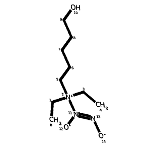 CC[N+](CC)(CCCCCO)[N+]([O-])=N[O-]